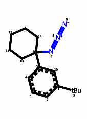 CC(C)(C)c1cccc(C2(N=[N+]=[N-])CCCCC2)c1